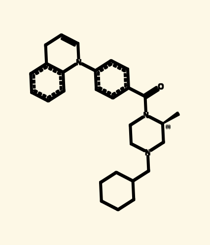 C[C@H]1CN(CC2CCCCC2)CCN1C(=O)c1ccc(N2C=CCc3ccccc32)cc1